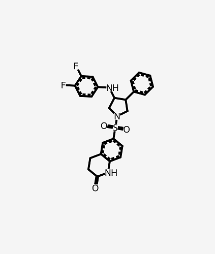 O=C1CCc2cc(S(=O)(=O)N3CC(Nc4ccc(F)c(F)c4)C(c4ccccc4)C3)ccc2N1